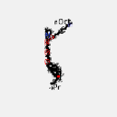 CCCCCCCC/C=C\CCCCCCCCOCC(CN1CCCC(C)C1)OCCCOCCCO[C@H]1CC[C@@]2(C)C(=CC[C@H]3[C@@H]4CC[C@H]([C@H](C)CCCC(C)C)[C@@]4(C)CC[C@@H]32)C1